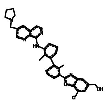 Cc1c(Nc2nccc3cc(CN4CCCC4)cnc23)cccc1-c1cccc(-c2nc3cc(CO)cc(Cl)c3o2)c1C